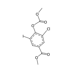 COC(=O)Oc1c(Cl)cc(C(=O)OC)cc1I